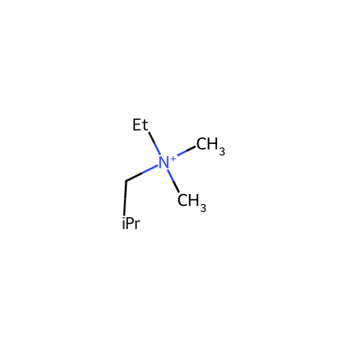 [CH2]C(C)C[N+](C)(C)CC